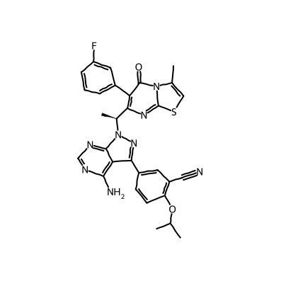 Cc1csc2nc([C@H](C)n3nc(-c4ccc(OC(C)C)c(C#N)c4)c4c(N)ncnc43)c(-c3cccc(F)c3)c(=O)n12